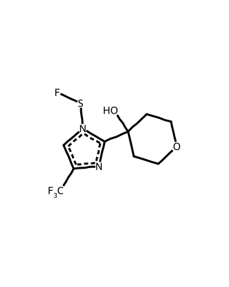 OC1(c2nc(C(F)(F)F)cn2SF)CCOCC1